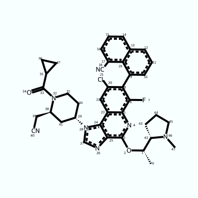 C[C@H](Oc1nc2c(F)c(-c3cccc4cccc(C#N)c34)c(Cl)cc2c2c1ncn2[C@H]1CCN(C(=O)C2CC2)[C@H](CC#N)C1)[C@@H]1CCCN1C